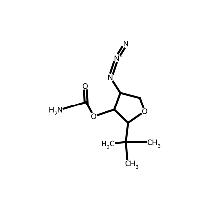 CC(C)(C)C1OCC(N=[N+]=[N-])C1OC(N)=O